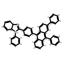 C1=CC2N=C(c3ccc(-c4c5ccccc5c(-c5ccccc5)c5cc(-c6ccccc6)ccc45)cc3)N(c3ccccc3)C2C=C1